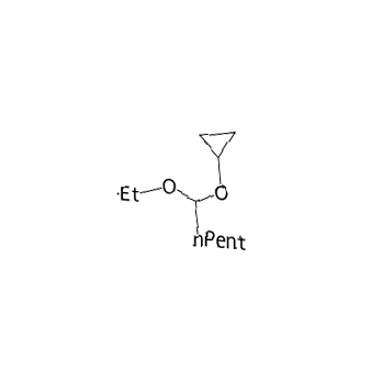 C[CH]OC(CCCCC)OC1CC1